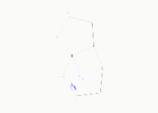 [N-]=[N+]1C2CC=CC13CCCC23